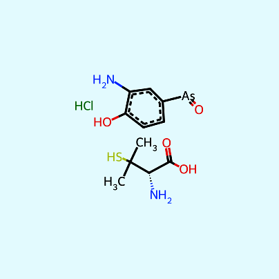 CC(C)(S)[C@@H](N)C(=O)O.Cl.Nc1cc([As]=O)ccc1O